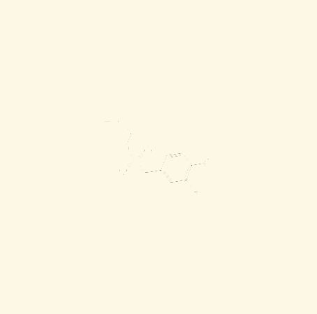 CCOS(=O)(=O)Cc1ccc(Cl)c(F)c1